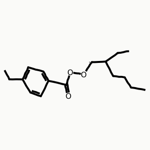 CCCCC([CH]OOC(=O)c1ccc(CC)cc1)CC